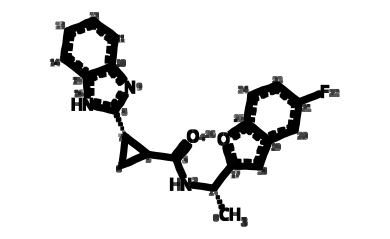 C[C@H](NC(=O)C1C[C@@H]1c1nc2ccccc2[nH]1)c1cc2cc(F)ccc2o1